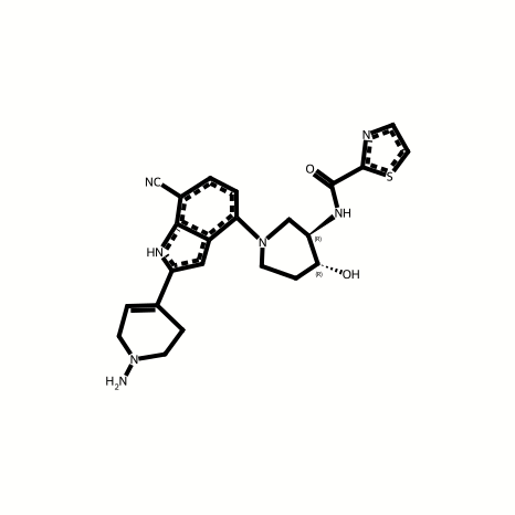 N#Cc1ccc(N2CC[C@@H](O)[C@H](NC(=O)c3nccs3)C2)c2cc(C3=CCN(N)CC3)[nH]c12